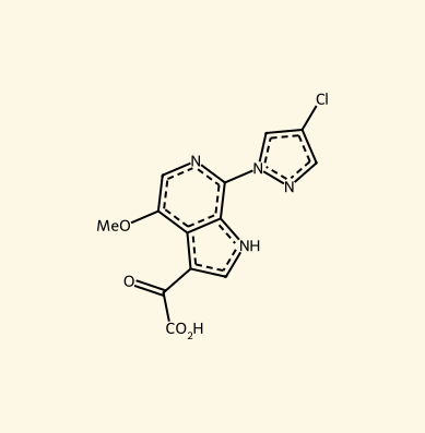 COc1cnc(-n2cc(Cl)cn2)c2[nH]cc(C(=O)C(=O)O)c12